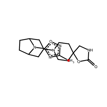 Cc1noc(N2C3CCC2CC(N2CCC4(CC2)CNC(=O)O4)C3)n1